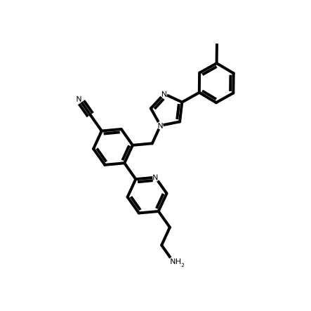 Cc1cccc(-c2cn(Cc3cc(C#N)ccc3-c3ccc(CCN)cn3)cn2)c1